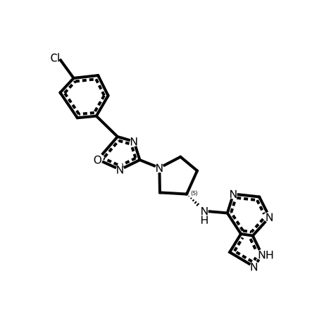 Clc1ccc(-c2nc(N3CC[C@H](Nc4ncnc5[nH]ncc45)C3)no2)cc1